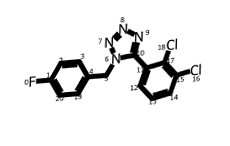 Fc1ccc(Cn2nnnc2-c2cccc(Cl)c2Cl)cc1